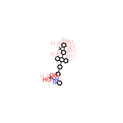 Bc1c(B)c(B)c2c(c1B)-c1c(B)c(B)c(-c3c4ccccc4c(-c4ccc(-c5ccc(-n6c(C(B)(B)C(B)(O)O)nc7ccccc76)cc5)cc4)c4ccccc34)c(B)c1C2(C)C